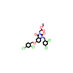 CCOC(=O)Cn1c(=O)c2cc(OCc3ccc(Cl)cc3Cl)ccc2n(Cc2ccc(Cl)cc2Cl)c1=O